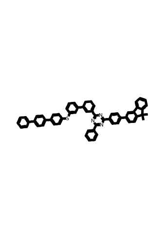 CC1(C)c2ccccc2-c2cc(-c3ccc(-c4nc(C5=CCCC(c6cccc(Sc7ccc(-c8ccc(-c9ccccc9)cc8)cc7)c6)=C5)nc(-c5ccccc5)n4)cc3)ccc21